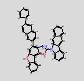 c1ccc(-c2ccc3cc(-c4cc5oc6ccccc6c5c5c4NC(n4c6ccccc6c6cc7ccccc7cc64)O5)ccc3c2)cc1